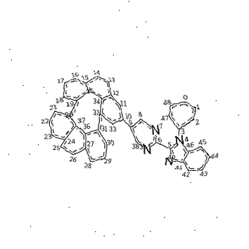 c1ccc(-n2c(-c3ncc(-c4cc5ccc6cccc7c8cccc9ccc%10cccc(c(c4)c5c67)c%10c98)cn3)nc3ccccc32)cc1